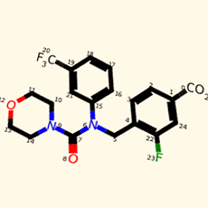 O=C(O)c1ccc(CN(C(=O)N2CCOCC2)c2cccc(C(F)(F)F)c2)c(F)c1